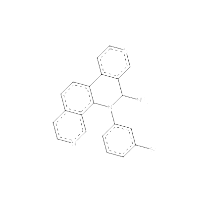 NC1c2cnccc2-c2ccc3ccncc3c2N1c1cccc(Br)c1